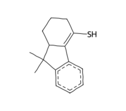 CC1(C)c2ccccc2C2=C(S)CCCC21